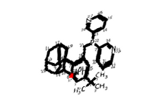 CC(C)(C)c1ccc(C23CC4CC(CC(C4)C2CP)C3)c(CP(c2cccnc2)c2cccnc2)c1